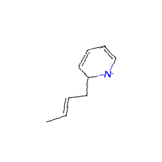 CC=CCC1C=CC=C[N]1